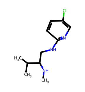 CNC(CNc1ccc(Cl)cn1)C(C)C